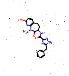 CN1C(=O)[C@@H](NC(=O)c2n[nH]c(Cc3ccccc3)n2)CCc2ccc(O)nc21